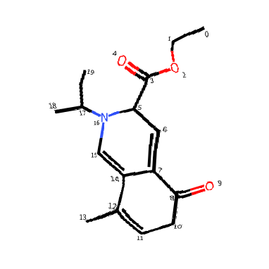 CCOC(=O)C1C=C2C(=O)CC=C(C)C2=CN1C(C)C